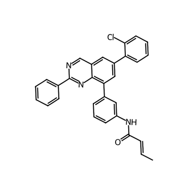 C/C=C/C(=O)Nc1cccc(-c2cc(-c3ccccc3Cl)cc3cnc(-c4ccccc4)nc23)c1